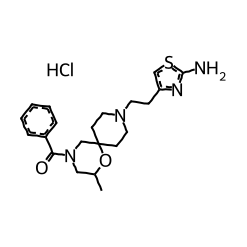 CC1CN(C(=O)c2ccccc2)CC2(CCN(CCc3csc(N)n3)CC2)O1.Cl